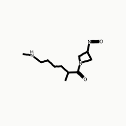 CNCCCCC(C)C(=O)N1CC(N=O)C1